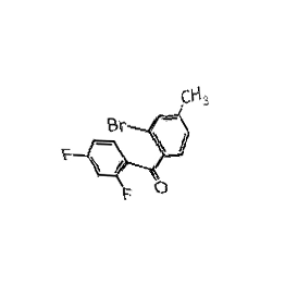 Cc1ccc(C(=O)c2ccc(F)cc2F)c(Br)c1